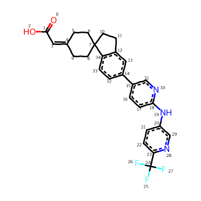 O=C(O)C=C1CCC2(CC1)CCc1cc(-c3ccc(Nc4ccc(C(F)(F)F)nc4)nc3)ccc12